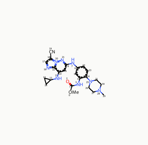 COC(=O)Nc1cc(Nc2cc(NC3CC3)c3ncc(C#N)n3n2)ccc1N1CCN(C)CC1